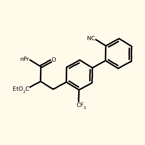 CCCC(=O)C(Cc1ccc(-c2ccccc2C#N)cc1C(F)(F)F)C(=O)OCC